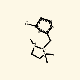 C[SiH]1CC[Si](C)(C)N1Cc1cccc(Br)c1